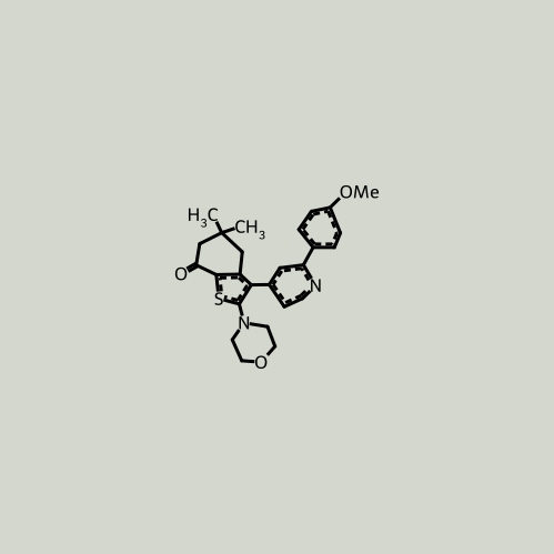 COc1ccc(-c2cc(-c3c(N4CCOCC4)sc4c3CC(C)(C)CC4=O)ccn2)cc1